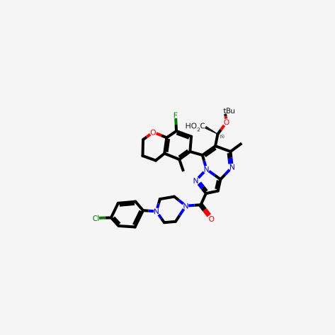 Cc1nc2cc(C(=O)N3CCN(c4ccc(Cl)cc4)CC3)nn2c(-c2cc(F)c3c(c2C)CCCO3)c1[C@H](OC(C)(C)C)C(=O)O